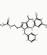 CC(C)c1nc(CCOC(N)=O)n(Cc2cccnc2)c1Sc1cc(Cl)cc(Cl)c1